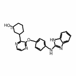 O[C@H]1CCCC(c2nccnc2Oc2ccc(Nc3nc4ccccc4[nH]3)cc2)C1